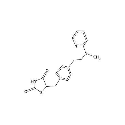 CN(CCc1ccc(CC2SC(=O)NC2=O)cc1)c1ccccn1